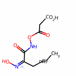 CC(C)C/C(=N/O)C(=O)NOC(=O)CC(=O)O.CCCC